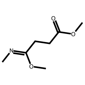 CN=C(CCC(=O)OC)OC